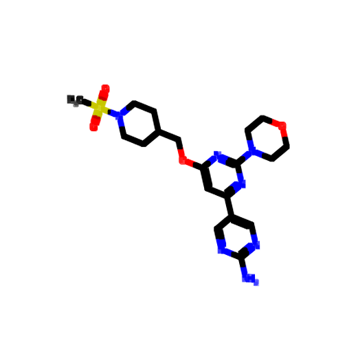 CS(=O)(=O)N1CCC(COc2cc(-c3cnc(N)nc3)nc(N3CCOCC3)n2)CC1